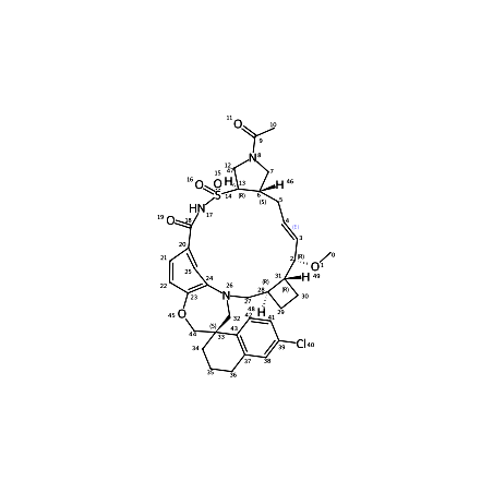 CO[C@H]1/C=C/C[C@H]2CN(C(C)=O)C[C@@H]2S(=O)(=O)NC(=O)c2ccc3c(c2)N(C[C@@H]2CC[C@H]21)C[C@@]1(CCCc2cc(Cl)ccc21)CO3